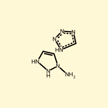 NN1C=CNN1.c1nnn[nH]1